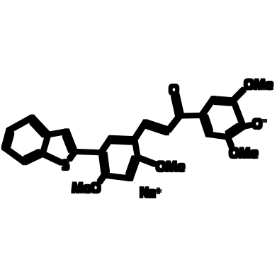 COc1cc(OC)c(-c2cc3ccccc3s2)cc1/C=C/C(=O)c1cc(OC)c([O-])c(OC)c1.[Na+]